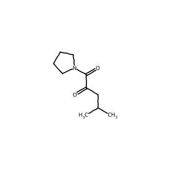 CC(C)CC(=O)C(=O)N1CCCC1